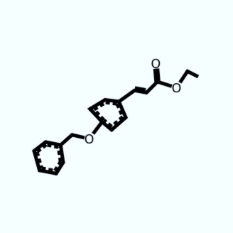 CCOC(=O)C=Cc1ccc(OCc2ccccc2)cc1